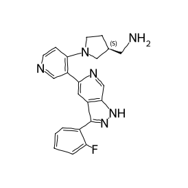 NC[C@@H]1CCN(c2ccncc2-c2cc3c(-c4ccccc4F)n[nH]c3cn2)C1